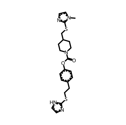 Cn1ccnc1SCC1CCN(C(=O)Oc2ccc(CCSc3ncc[nH]3)cc2)CC1